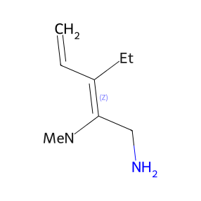 C=C/C(CC)=C(/CN)NC